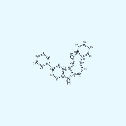 c1ccc(-c2ccc3[nH]c4ccc5c6ccccc6oc5c4c3c2)cc1